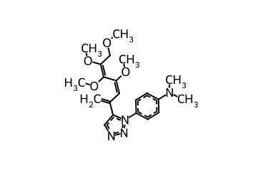 C=C(/C=C(OC)\C(OC)=C(/COC)OC)c1cnnn1-c1ccc(N(C)C)cc1